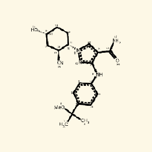 COC(C)(C)c1ccc(Nc2nn([C@H]3CC[C@@H](O)C[C@@H]3C#N)cc2C(N)=O)cc1